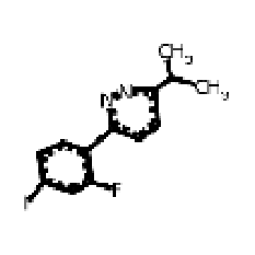 CC(C)c1ccc(-c2ccc(I)cc2F)nn1